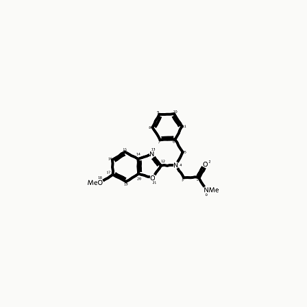 CNC(=O)CN(Cc1ccccc1)c1nc2ccc(OC)cc2o1